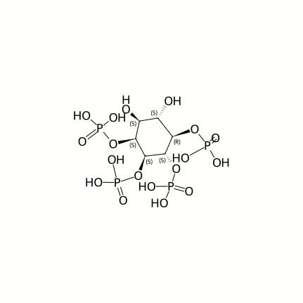 O=P(O)(O)O[C@@H]1[C@@H](OP(=O)(O)O)[C@@H](OP(=O)(O)O)[C@@H](O)[C@H](O)[C@H]1OP(=O)(O)O